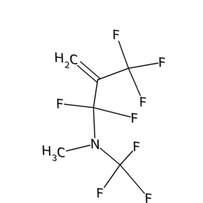 C=C(C(F)(F)F)C(F)(F)N(C)C(F)(F)F